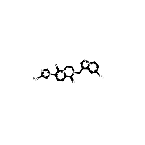 Cc1cn(-c2ccc3n(c2=O)CCN(Cc2cnn4ccc(C(F)(F)F)cc24)C3=O)cn1